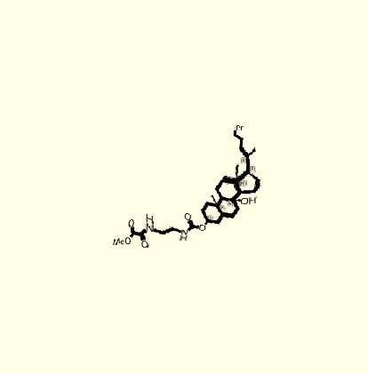 COC(=O)C(=O)NCCNC(=O)O[C@H]1CC[C@@]2(C)C(=CC[C@]3(O)C2CC[C@@]2(C)C3CC[C@@H]2[C@H](C)CCCC(C)C)C1